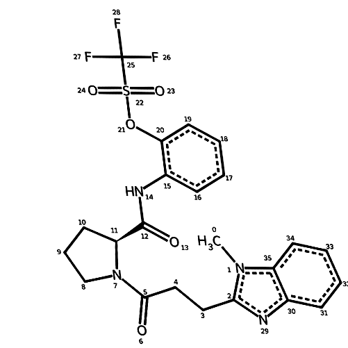 Cn1c(CCC(=O)N2CCC[C@H]2C(=O)Nc2ccccc2OS(=O)(=O)C(F)(F)F)nc2ccccc21